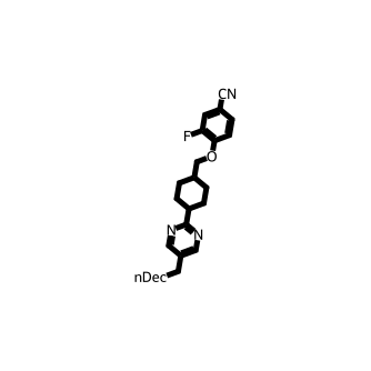 CCCCCCCCCCCc1cnc(C2CCC(COc3ccc(C#N)cc3F)CC2)nc1